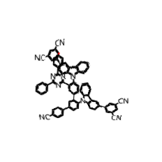 N#Cc1ccc(-c2ccc(-n3c4ccccc4c4cc(-c5cc(C#N)cc(C#N)c5)ccc43)c(-c3ccc(-n4c5ccccc5c5cc(-c6cc(C#N)cc(C#N)c6)ccc54)c(-c4nc(-c5ccccc5)nc(-c5ccccc5)n4)c3)c2)cc1